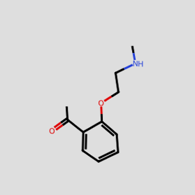 CNCCOc1ccccc1C(C)=O